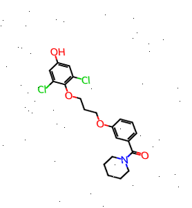 O=C(c1cccc(OCCCOc2c(Cl)cc(O)cc2Cl)c1)N1CCCCC1